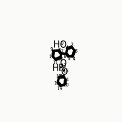 Oc1ccccc1-c1ccccc1OPOc1ccccc1